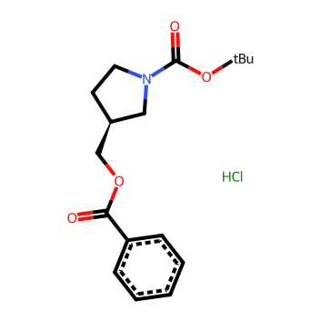 CC(C)(C)OC(=O)N1CC[C@H](COC(=O)c2ccccc2)C1.Cl